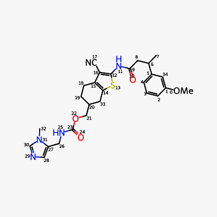 COc1cccc(C(C)CC(=O)Nc2sc3c(c2C#N)CCC(COC(=O)NCc2cncn2C)C3)c1